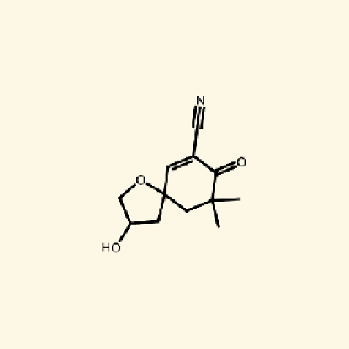 CC1(C)CC2(C=C(C#N)C1=O)CC(O)CO2